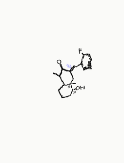 CC1C(=O)/C(=C/c2ccccc2F)C[C@@]2(C)C1CCC[C@@H]2O